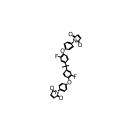 CC(C)(c1ccc(Oc2ccc(N3C(=O)C=CC3=O)cc2)c(F)c1)c1ccc(Oc2ccc(N3C(=O)C=CC3=O)cc2)c(F)c1